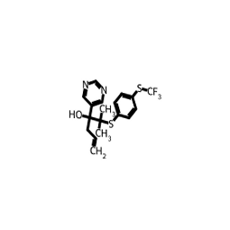 C=CCC(O)(c1cncnc1)C(C)(C)Sc1ccc(SC(F)(F)F)cc1